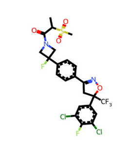 CC(C(=O)N1CC(F)(c2ccc(C3=NOC(c4cc(Cl)c(F)c(Cl)c4)(C(F)(F)F)C3)cc2)C1)S(C)(=O)=O